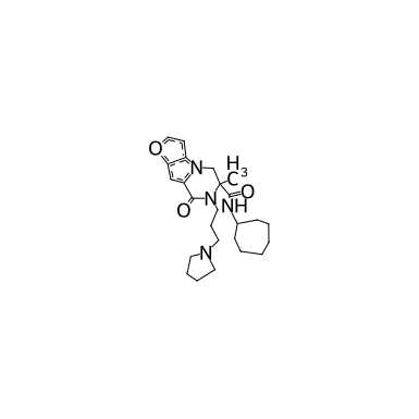 CC1(C(=O)NC2CCCCCC2)Cn2c(cc3occc32)C(=O)N1CCCN1CCCC1